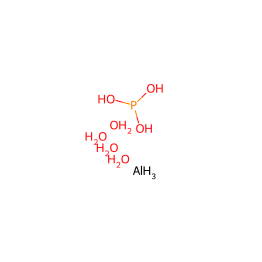 O.O.O.O.OP(O)O.[AlH3]